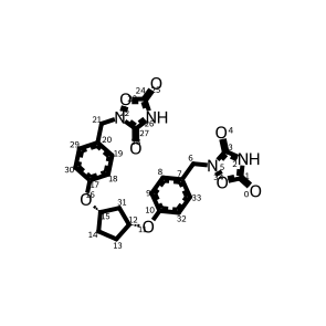 O=c1[nH]c(=O)n(Cc2ccc(O[C@@H]3CC[C@H](Oc4ccc(Cn5oc(=O)[nH]c5=O)cc4)C3)cc2)o1